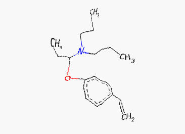 C=Cc1ccc(OC(CC)N(CCC)CCC)cc1